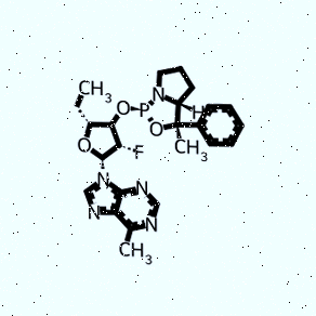 CC[C@H]1O[C@@H](n2cnc3c(C)ncnc32)[C@@H](F)C1O[P@]1O[C@@](C)(c2ccccc2)[C@H]2CCCN21